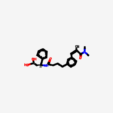 CN(C)C(=O)C(C#N)=Cc1cccc(CCCC(=O)N[C@@H](CB(O)O)c2ccccc2)c1